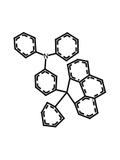 c1ccc(N(c2ccccc2)c2cccc(C3(c4ccccc4)c4cccc5ccc6cccc3c6c45)c2)cc1